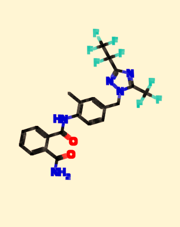 Cc1cc(Cn2nc(C(F)(F)C(F)(F)F)nc2C(F)(F)F)ccc1NC(=O)c1ccccc1C(N)=O